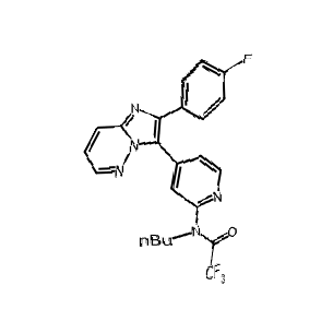 CCCCN(C(=O)C(F)(F)F)c1cc(-c2c(-c3ccc(F)cc3)nc3cccnn23)ccn1